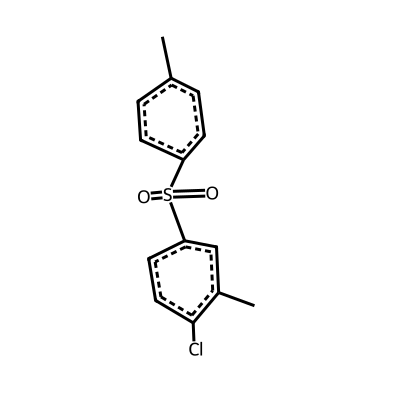 Cc1ccc(S(=O)(=O)c2ccc(Cl)c(C)c2)cc1